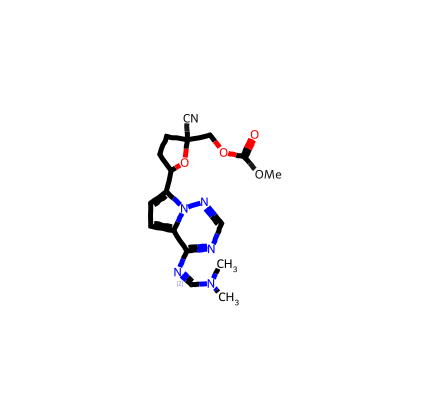 COC(=O)OCC1(C#N)CCC(c2ccc3c(/N=C\N(C)C)ncnn23)O1